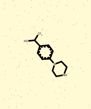 OC(c1ccc(N2CCNCC2)cc1)C(F)(F)F